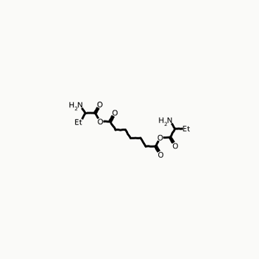 CCC(N)C(=O)OC(=O)CCCCCC(=O)OC(=O)C(N)CC